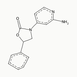 Nc1cc(N2CC(c3ccccc3)OC2=O)ccn1